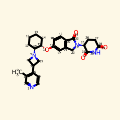 Cc1cnccc1C1CN([C@H]2CCCC[C@@H]2Oc2ccc3c(c2)CN([C@H]2CCC(=O)NC2=O)C3=O)C1